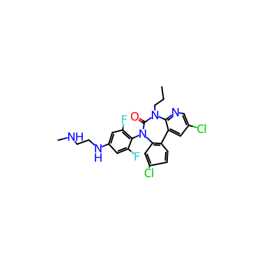 CCCN1C(=O)N(c2c(F)cc(NCCNC)cc2F)c2cc(Cl)ccc2-c2cc(Cl)cnc21